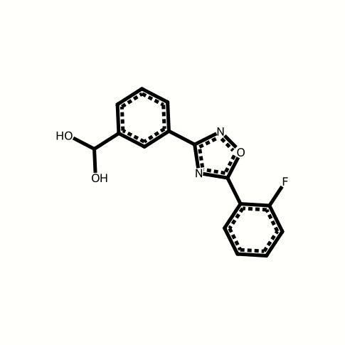 OC(O)c1cccc(-c2noc(-c3ccccc3F)n2)c1